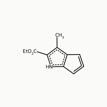 CCOC(=O)c1[nH]c2c(c1C)C=C=C2